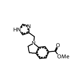 COC(=O)c1ccc2c(c1)N(Cc1c[nH]cn1)CC2